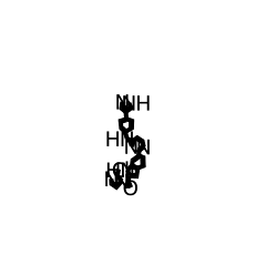 O=C(c1cc2ccc(-c3nccc(Nc4ccc(-c5cn[nH]c5)cc4)n3)cc2[nH]1)n1ccnc1Cl